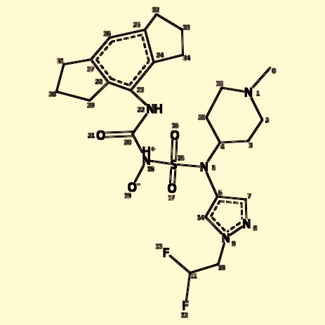 CN1CCC(N(c2cnn(CC(F)F)c2)S(=O)(=O)[NH+]([O-])C(=O)Nc2c3c(cc4c2CCC4)CCC3)CC1